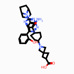 Nc1nnc(-c2ccccc2O)cc1N1CC2CCC(C1)N2c1ncc(C2CCC(N3CC4(CC(C(=O)O)C4)C3)CC2)cn1